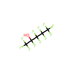 OC(F)(C(F)(F)F)C(F)(F)C(F)(F)C(F)(F)F